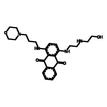 O=C1c2ccccc2C(=O)c2c(NCCNCCO)ccc(NCCCN3CCOCC3)c21